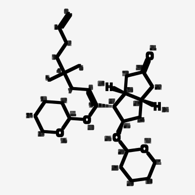 C=CCCC(C)(C)CC=C(OC1CCCCO1)[C@@H]1[C@@H]2CC(=O)C[C@@H]2C[C@H]1OC1CCCCO1